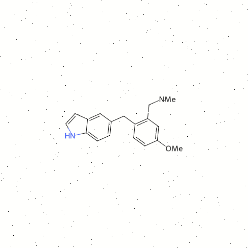 CNCc1cc(OC)ccc1Cc1ccc2[nH]ccc2c1